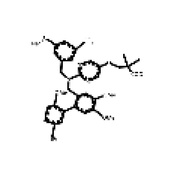 COc1cc(CN(Cc2cc(C(F)(F)F)cc(C(F)(F)F)c2)c2ncc(OCC(C)(C)C(=O)[O-])cn2)c(-c2cc(C(C)C)ccc2OC)cc1OC.[Na+]